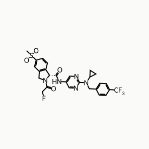 CS(=O)(=O)c1ccc2c(c1)CN(C(=O)CF)[C@H]2C(=O)Nc1cnc(N(Cc2ccc(C(F)(F)F)cc2)C2CC2)nc1